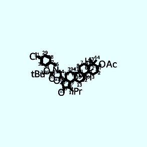 CC(=O)O[C@H]1CC[C@@]2(C)[C@H](CC[C@]3(C)[C@@H]2CCC2C4=C(C(C)C)C(=O)C[C@]4(C(=O)CN(Cc4ccc(Cl)cc4)C(=O)OC(C)(C)C)CC[C@]23C)C1(C)C